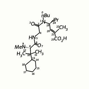 CCCCN(C(=O)CNC(=O)[C@@H](NC)C(C)(C)C1CCCCC1)[C@H](/C=C(\C)C(=O)O)C(C)C